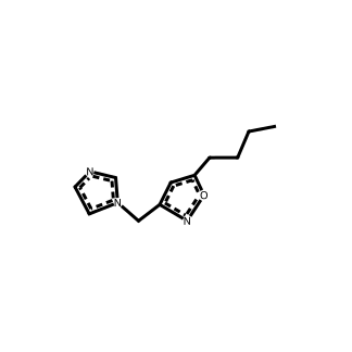 CCCCc1cc(Cn2ccnc2)no1